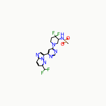 CS(=O)(=O)NC1CN(c2cc(-c3cnc4ccc(C(F)F)nn34)ncn2)CCC1(F)F